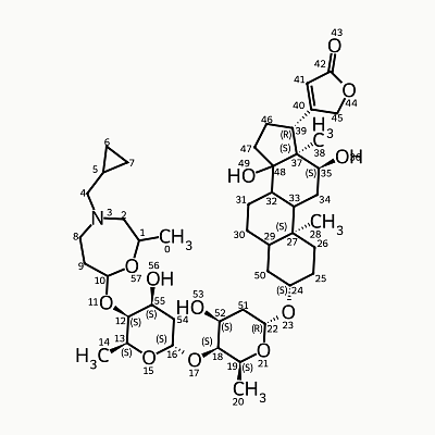 CC1CN(CC2CC2)CCC(O[C@@H]2[C@H](C)O[C@@H](O[C@@H]3[C@H](C)O[C@@H](O[C@H]4CC[C@@]5(C)C(CCC6C5C[C@H](O)[C@]5(C)[C@@H](C7=CC(=O)OC7)CCC65O)C4)C[C@@H]3O)C[C@@H]2O)O1